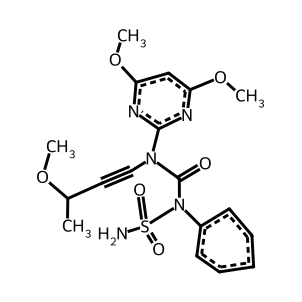 COc1cc(OC)nc(N(C#CC(C)OC)C(=O)N(c2ccccc2)S(N)(=O)=O)n1